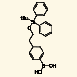 CC(C)(C)[Si](OCCc1ccc(B(O)O)cc1)(c1ccccc1)c1ccccc1